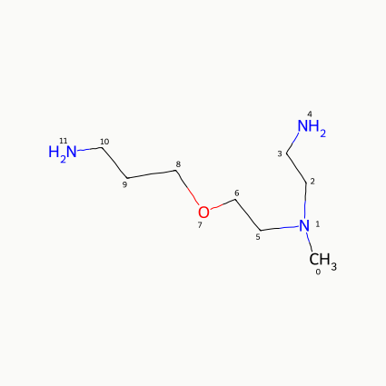 CN(CCN)CCOCCCN